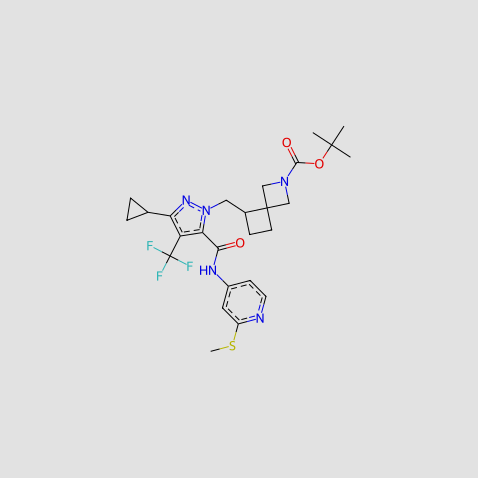 CSc1cc(NC(=O)c2c(C(F)(F)F)c(C3CC3)nn2CC2CCC23CN(C(=O)OC(C)(C)C)C3)ccn1